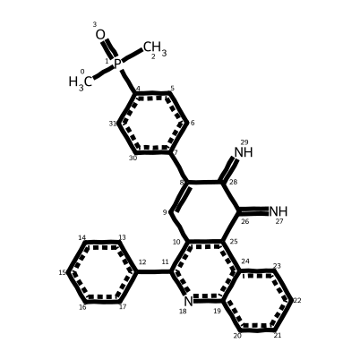 CP(C)(=O)c1ccc(C2=Cc3c(-c4ccccc4)nc4ccccc4c3C(=N)C2=N)cc1